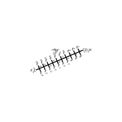 O=C(O)C(F)(F)C(F)(F)C(F)(F)C(F)(F)C(F)(F)C(F)(F)C(F)(F)C(F)(F)C(F)(F)C(F)(F)C(F)(F)F.[F-].[Na+]